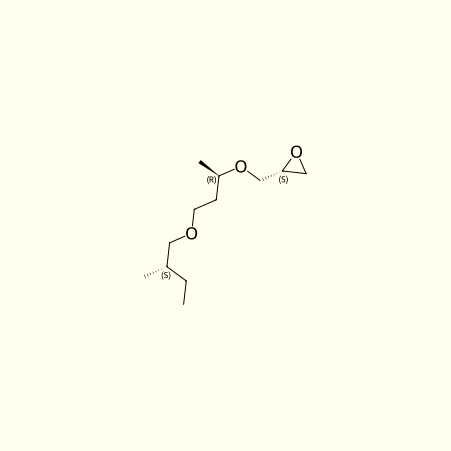 CC[C@H](C)COCC[C@@H](C)OC[C@H]1CO1